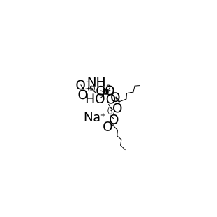 CCCCCC(=O)OC[C@H](COP(=O)(O)OC[C@H](N)C(=O)[O-])OC(=O)CCCCC.[Na+]